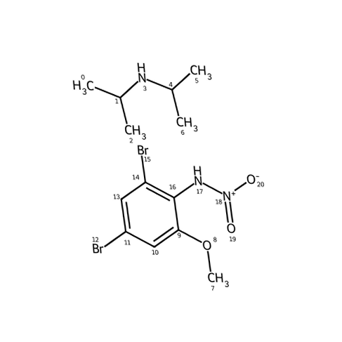 CC(C)NC(C)C.COc1cc(Br)cc(Br)c1N[N+](=O)[O-]